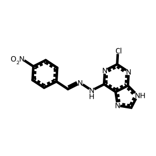 O=[N+]([O-])c1ccc(C=NNc2nc(Cl)nc3[nH]cnc23)cc1